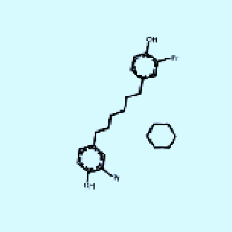 C1CCCCC1.CC(C)c1cc(CCCCCCc2ccc(O)c(C(C)C)c2)ccc1O